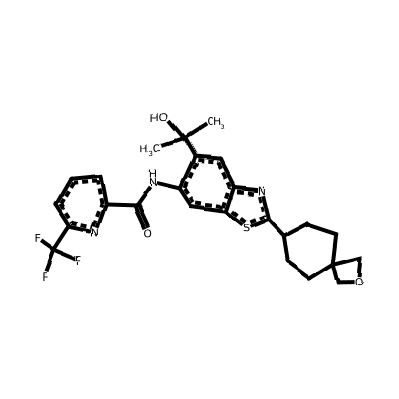 CC(C)(O)c1cc2nc(C3CCC4(CC3)COC4)sc2cc1NC(=O)c1cccc(C(F)(F)F)n1